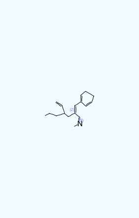 C=CC(CCC)CC(/C=N\C)=C/C1=CCCC=C1